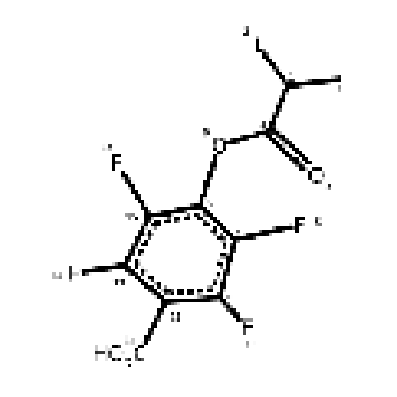 CC(I)C(=O)Oc1c(F)c(F)c(C(=O)O)c(F)c1F